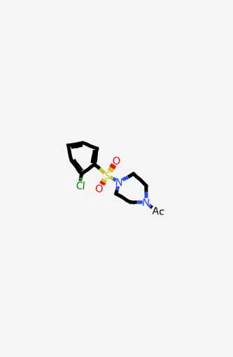 CC(=O)N1CCN(S(=O)(=O)c2ccccc2Cl)CC1